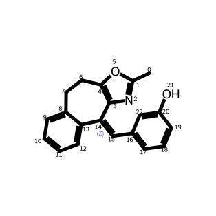 Cc1nc2c(o1)CCc1ccccc1/C2=C/c1cccc(O)c1